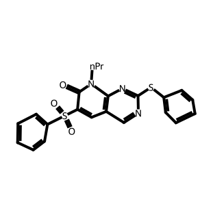 CCCn1c(=O)c(S(=O)(=O)c2ccccc2)cc2cnc(Sc3ccccc3)nc21